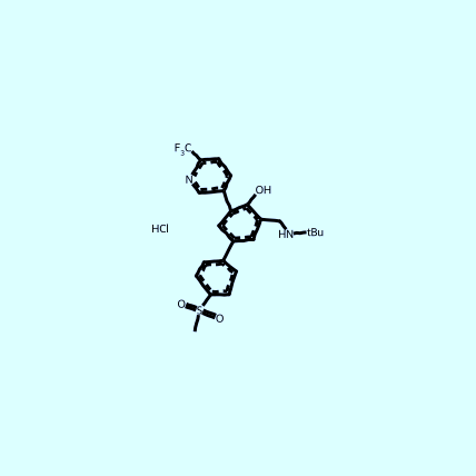 CC(C)(C)NCc1cc(-c2ccc(S(C)(=O)=O)cc2)cc(-c2ccc(C(F)(F)F)nc2)c1O.Cl